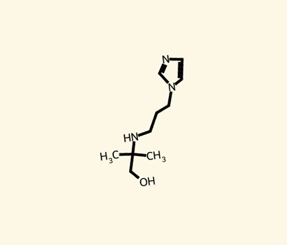 CC(C)(CO)NCCCn1ccnc1